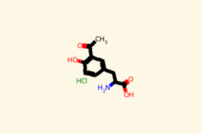 CC(=O)c1cc(CC(N)C(=O)O)ccc1O.Cl